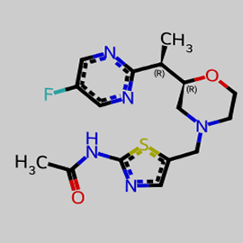 CC(=O)Nc1ncc(CN2CCO[C@H]([C@H](C)c3ncc(F)cn3)C2)s1